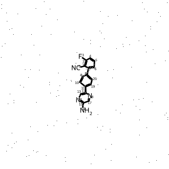 N#Cc1c(F)cccc1-c1ccc(-c2cnc(N)cn2)cc1